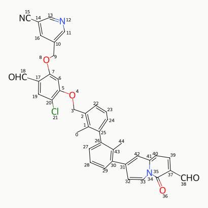 Cc1c(COc2cc(OCc3cncc(C#N)c3)c(C=O)cc2Cl)cccc1-c1cccc(-c2ccn3c(=O)c(C=O)ccc3c2)c1C